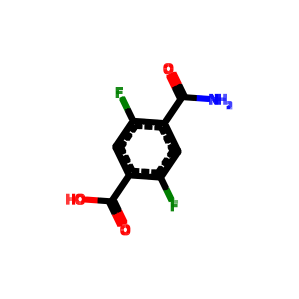 NC(=O)c1cc(F)c(C(=O)O)cc1F